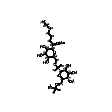 CCC(C)(C)OCC1O[C@H](C(C)(C)OCC2O[C@@H](N(CCCN=[N+]=[N-])OC)C(O)C(O)[C@@H]2O)C(O)C(O)[C@@H]1O